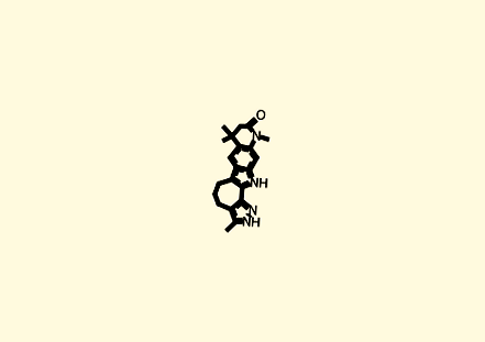 Cc1[nH]nc2c1CCCc1c-2[nH]c2cc3c(cc12)C(C)(C)CC(=O)N3C